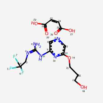 N/C(=N/CC(F)(F)F)Nc1cncc(OCCCO)n1.O=C(O)/C=C\C(=O)O